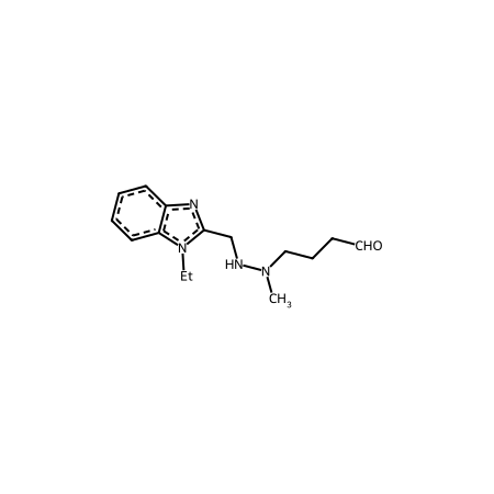 CCn1c(CNN(C)CCCC=O)nc2ccccc21